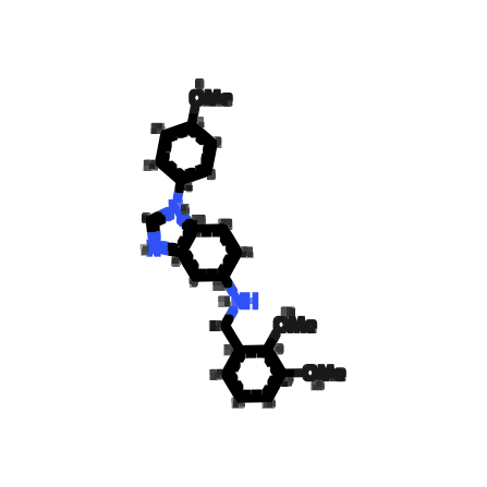 COc1ccc(-n2cnc3cc(NCc4cccc(OC)c4OC)ccc32)cc1